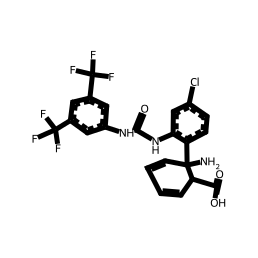 NC1(c2ccc(Cl)cc2NC(=O)Nc2cc(C(F)(F)F)cc(C(F)(F)F)c2)C=CC=CC1C(=O)O